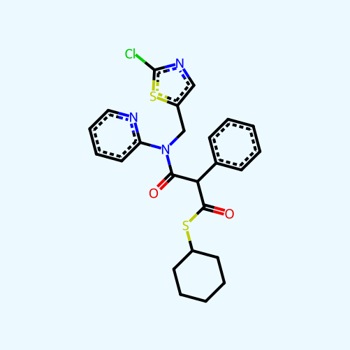 O=C(SC1CCCCC1)C(C(=O)N(Cc1cnc(Cl)s1)c1ccccn1)c1ccccc1